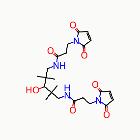 CC(C)(CNC(=O)CCN1C(=O)C=CC1=O)C(O)C(C)(C)CNC(=O)CCN1C(=O)C=CC1=O